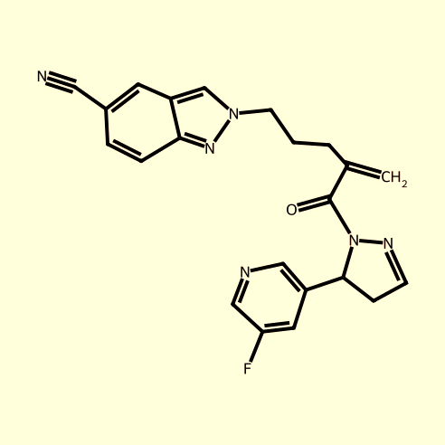 C=C(CCCn1cc2cc(C#N)ccc2n1)C(=O)N1N=CCC1c1cncc(F)c1